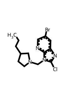 CCCC1CCN(Cn2c(Cl)nc3cc(Br)cnc32)C1